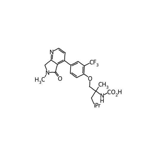 CC(C)CC(C)(COc1ccc(-c2ccnc3c2C(=O)N(C)C3)cc1C(F)(F)F)NC(=O)O